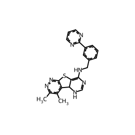 Cc1nnc2c(c1C)C1NC=NC(NCc3cccc(-c4ncccn4)c3)=C1S2